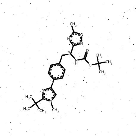 Cc1nc([C@H](Cc2ccc(-c3cn(C)c(C(C)(C)C)n3)cc2)NC(=O)OC(C)(C)C)no1